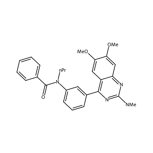 CCCN(C(=O)c1ccccc1)c1cccc(-c2nc(NC)nc3cc(OC)c(OC)cc23)c1